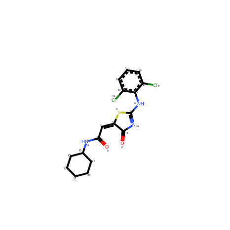 O=C(/C=C1/SC(Nc2c(Cl)cccc2Cl)=NC1=O)NC1CCCCC1